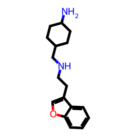 NC1CCC(CNCCc2coc3ccccc23)CC1